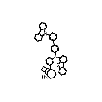 c1cc(-c2ccc(N(c3cccc(C45CCCC[C@@H](C4)C4CCC45)c3)c3cccc4c3sc3ccccc34)cc2)cc(-n2c3ccccc3c3ccccc32)c1